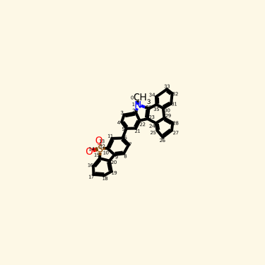 Cn1c2ccc(-c3ccc4c(c3)S(=O)(=O)c3ccccc3-4)cc2c2c3ccccc3c3ccccc3c21